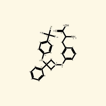 NC(Cc1cccc(SN2CC(Oc3ccc(C(F)(F)F)cc3)(c3ccccc3)C2)c1)C(=O)O